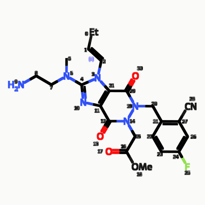 CC/C=C/n1c(N(C)CCN)nc2c(=O)n(CC(=O)OC)n(Cc3ccc(F)cc3C#N)c(=O)c21